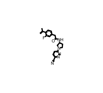 C=C(C)c1ccc(CC(=O)N[C@H]2CCN(c3ccc(C#N)nn3)C2)cc1F